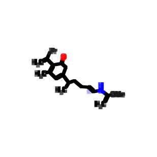 C=C(N/C=C/CCC(C)C1=CC(C)=C(C(=C)C(C)C)C(=O)C1)OC